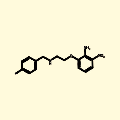 Cc1ccc(CNCCOc2cccc([N+](=O)[O-])c2N)cc1